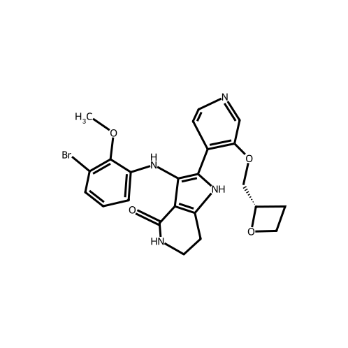 COc1c(Br)cccc1Nc1c(-c2ccncc2OC[C@@H]2CCO2)[nH]c2c1C(=O)NCC2